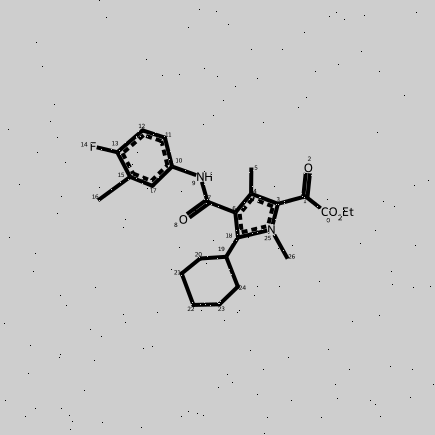 CCOC(=O)C(=O)c1c(C)c(C(=O)Nc2ccc(F)c(C)c2)c(C2CCCCC2)n1C